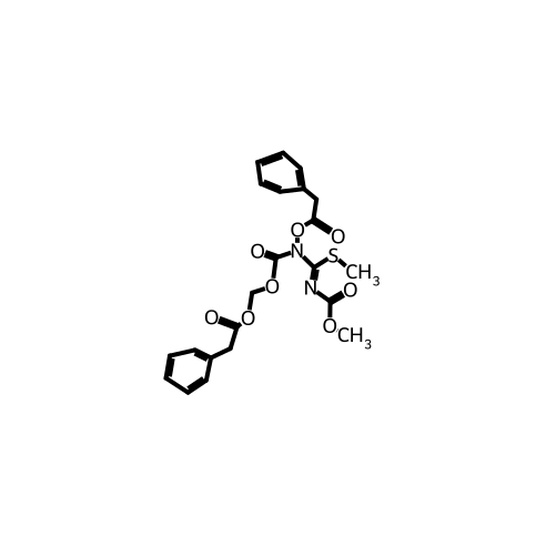 COC(=O)N=C(SC)N(OC(=O)Cc1ccccc1)C(=O)OCOC(=O)Cc1ccccc1